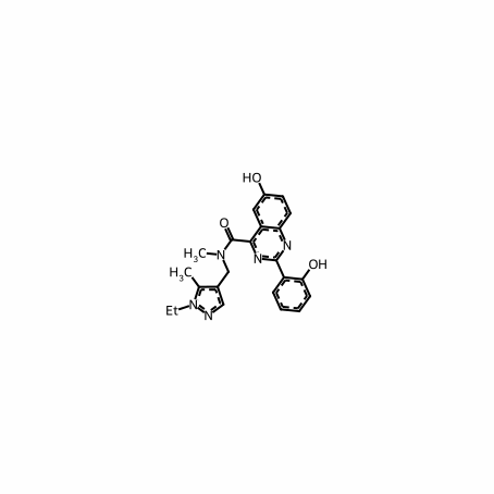 CCn1ncc(CN(C)C(=O)c2nc(-c3ccccc3O)nc3ccc(O)cc23)c1C